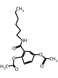 CCCCCCNC(=O)c1cc(OC(C)=O)ccc1OC(C)=O